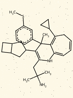 CSc1cccc(C2(C)C3=C(C4CC4)CC=CC=C3NC(CC(C)(C)N)=C2C2CC3CCC3C2)c1